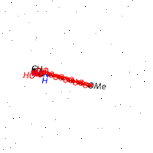 COCCOCCOCCOCCOCCOCCOCCOCCOCCNC(=O)[C@H]1CC[C@H](CN2[C@H](O)CC(C)[C@@H]2O)CC1